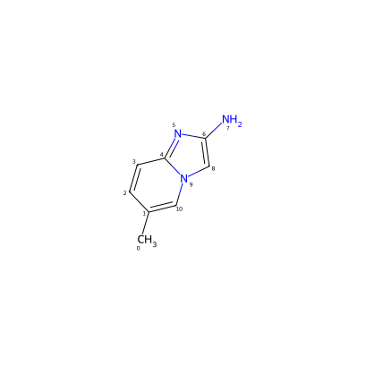 Cc1ccc2nc(N)cn2c1